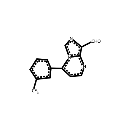 O=Cc1ncn2c(-c3cccc(C(F)(F)F)c3)ccnc12